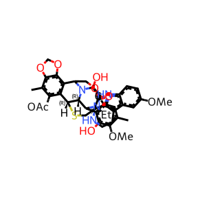 CCN1CC2(O)Cc3cc(C)c(OC)c(O)c3C1[C@@H]1[C@@H]3SC[C@]4(NCCc5c4[nH]c4ccc(OC)cc54)C(=O)OCC(c4c5c(c(C)c(OC(C)=O)c43)OCO5)N12